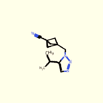 CC(C)c1cnnn1CC12CC(C#N)(C1)C2